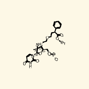 CC(C)OC(=O)C(CCOCC[C@@H]1[C@@H](COP=O)O[C@@H](n2ccc(=O)[nH]c2=O)[C@]1(C)N)c1ccccc1